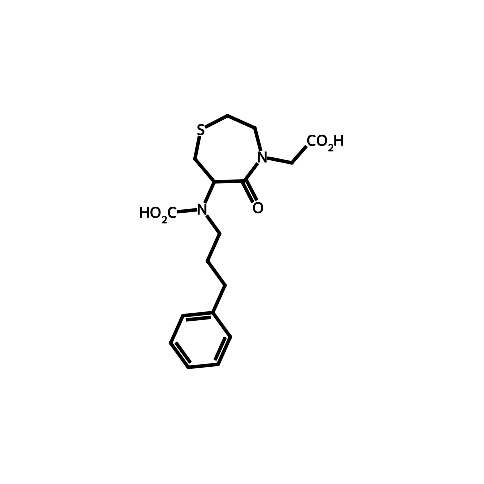 O=C(O)CN1CCSCC(N(CCCc2ccccc2)C(=O)O)C1=O